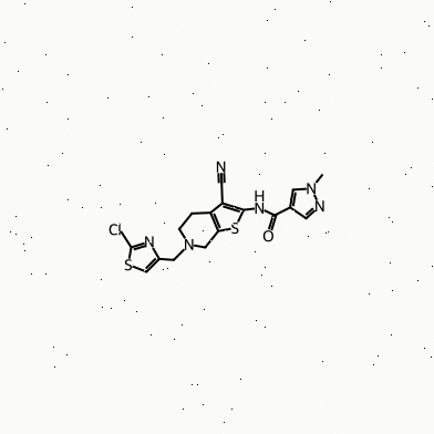 Cn1cc(C(=O)Nc2sc3c(c2C#N)CCN(Cc2csc(Cl)n2)C3)cn1